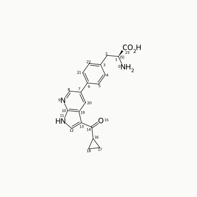 N[C@@H](Cc1ccc(-c2cnc3[nH]cc(C(=O)C4CC4)c3c2)cc1)C(=O)O